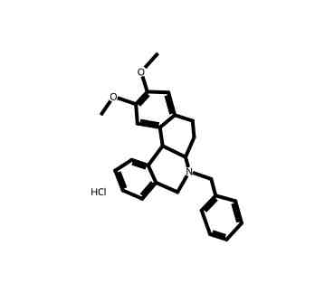 COc1cc2c(cc1OC)C1c3ccccc3CN(Cc3ccccc3)C1CC2.Cl